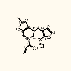 C=CC(=O)N1Cc2sc(C)cc2C(Cc2ccsc2SCl)C1